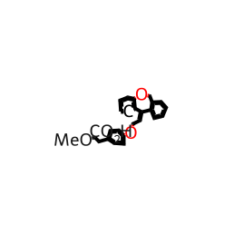 COC(Cc1ccc(OCC=C2c3ccccc3COc3ccccc32)cc1)C(=O)O